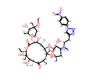 CC[C@H]1OC(=O)[C@H](C)[C@@H](O[C@H]2C[C@@](C)(OC)[C@@H](O)[C@H](C)O2)[C@H](C)[C@@H](O[C@@H]2O[C@H](C)C[C@H](N(C)CCc3cn(-c4ccc([N+](=O)[O-])cc4)nn3)[C@H]2O)[C@](C)(OC)C[C@@H](C)C(=O)[C@H](C)[C@@H](O)[C@]1(C)O